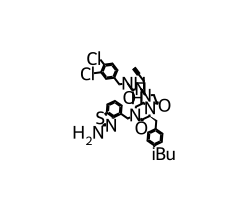 C#CCN(C(=O)NCc1ccc(Cl)c(Cl)c1)N1CC(=O)N2[C@@H](Cc3ccc(C(C)CC)cc3)C(=O)N(Cc3cccc4sc(N)nc34)C[C@@H]21